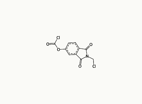 O=C(Cl)Oc1ccc2c(c1)C(=O)N(CCl)C2=O